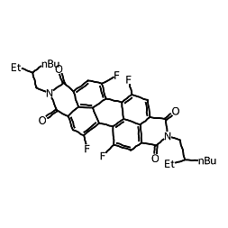 CCCCC(CC)CN1C(=O)c2cc(F)c3c4c(F)cc5c6c(cc(F)c(c7c(F)cc(c2c37)C1=O)c64)C(=O)N(CC(CC)CCCC)C5=O